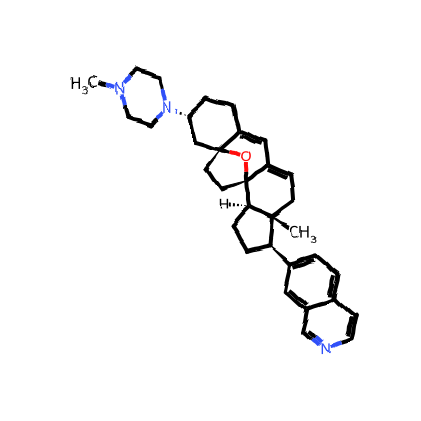 CN1CCN([C@@H]2CCC3=CC4=CC[C@]5(C)[C@@H](c6ccc7ccncc7c6)CC[C@H]5[C@@]45CC[C@]3(C2)O5)CC1